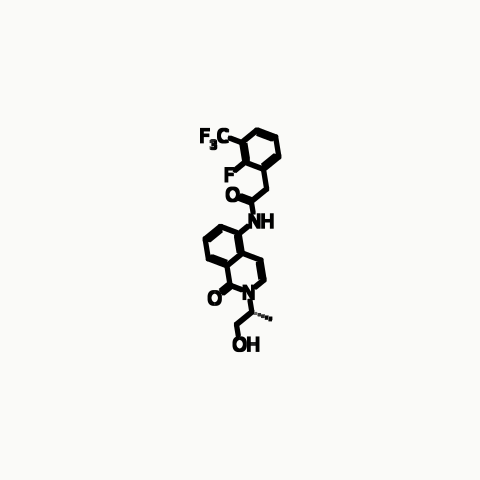 C[C@H](CO)n1ccc2c(NC(=O)Cc3cccc(C(F)(F)F)c3F)cccc2c1=O